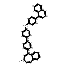 C[C@H]1C=Cc2ccccc2C(c2ccc(-c3ccc(Nc4ccc(-c5cccc6ccccc56)cc4)cc3)cc2)=C1